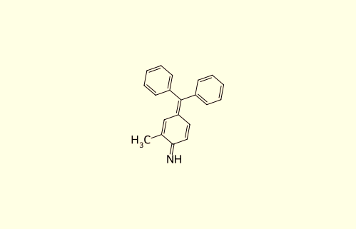 CC1=CC(=C(c2ccccc2)c2ccccc2)C=CC1=N